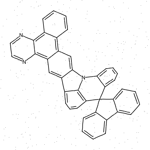 c1ccc2c(c1)-c1ccccc1C21c2ccccc2-n2c3cc4c5ccccc5c5nccnc5c4cc3c3cccc1c32